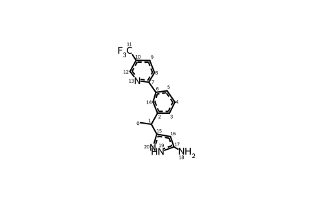 CC(c1cccc(-c2ccc(C(F)(F)F)cn2)c1)c1cc(N)[nH]n1